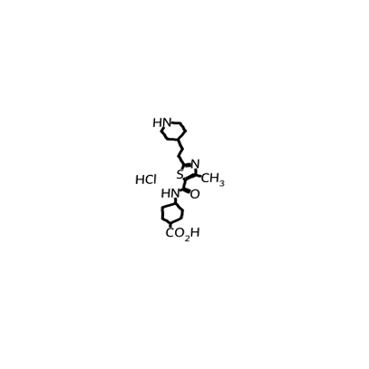 Cc1nc(CCC2CCNCC2)sc1C(=O)NC1CCC(C(=O)O)CC1.Cl